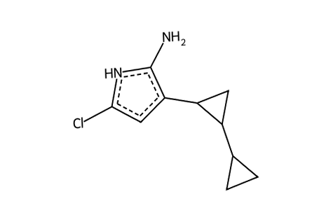 Nc1[nH]c(Cl)cc1C1CC1C1CC1